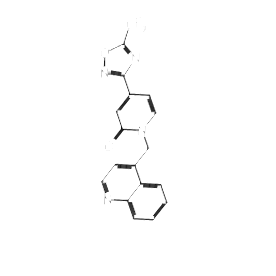 O=c1cc(-c2noc(C(F)(F)F)n2)ccn1Cc1ccnc2ccccc12